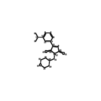 CC(C)c1cccc(C2=CC(=O)N(CC3CCOCC3)C2=O)c1